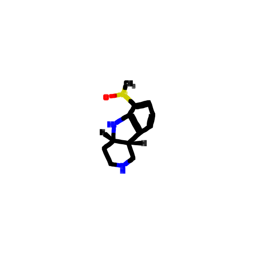 C[S+]([O-])c1cccc2c1N[C@H]1CCNC[C@@H]21